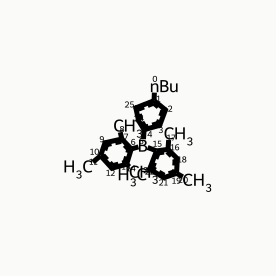 CCCCc1ccc(B(c2c(C)cc(C)cc2C)c2c(C)cc(C)cc2C)cc1